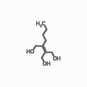 CCCCC(CO)=C(CO)CO